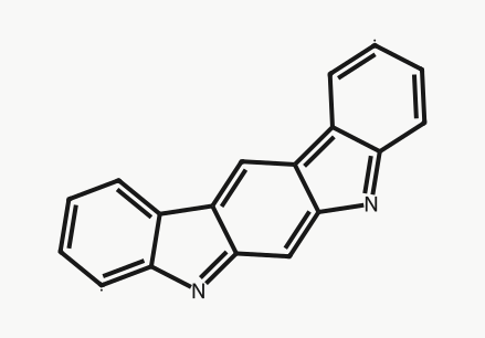 [c]1ccc2c(c1)=c1cc3c(cc1N=2)=Nc1[c]cccc1-3